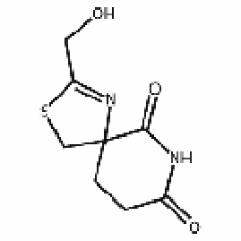 O=C1CCC2(CSC(CO)=N2)C(=O)N1